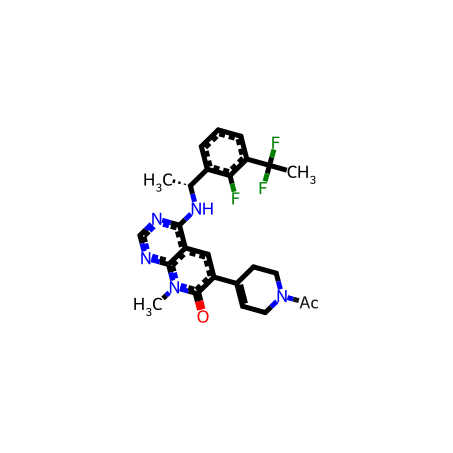 CC(=O)N1CC=C(c2cc3c(N[C@H](C)c4cccc(C(C)(F)F)c4F)ncnc3n(C)c2=O)CC1